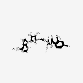 Nc1cc(F)ccc1C(=O)NS(=O)(=O)OC[C@H]1O[C@@H](n2cnc3c(N)ncnc32)[C@H](O)[C@@H]1O